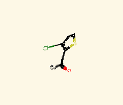 CC(C)(C)C(=O)c1sccc1Cl